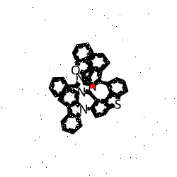 c1ccc(-c2nc(-c3ccccc3)nc(-c3c(-n4c5ccccc5c5ccccc54)ccc4sc5cccc(-c6ccc7oc8ccccc8c7c6)c5c34)n2)cc1